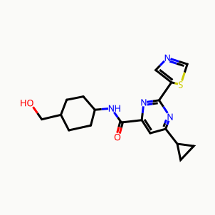 O=C(NC1CCC(CO)CC1)c1cc(C2CC2)nc(-c2cncs2)n1